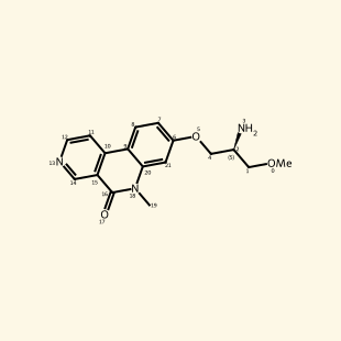 COC[C@H](N)COc1ccc2c3ccncc3c(=O)n(C)c2c1